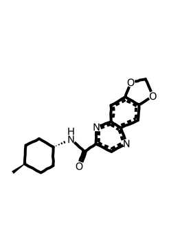 C[C@H]1CC[C@H](NC(=O)c2cnc3cc4c(cc3n2)OCO4)CC1